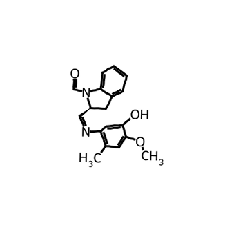 COc1cc(C)c(/N=C\[C@@H]2Cc3ccccc3N2C=O)cc1O